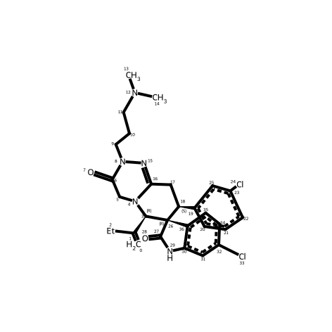 C=C(CC)[C@H]1N2CC(=O)N(CCCN(C)C)N=C2C[C@@H](c2cccc(Cl)c2)[C@]12C(=O)Nc1cc(Cl)ccc12